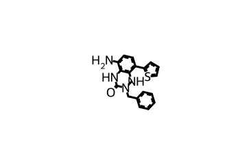 Nc1ccc(-c2cccs2)c2c1NC(=O)N(Cc1ccccc1)N2